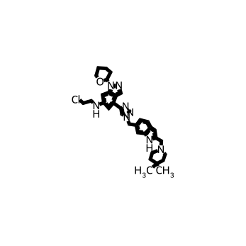 CC1(C)CCN(Cc2cc3ccc(Cn4cc(-c5cc(NCCCl)cc6c5cnn6C5CCCCO5)nn4)cc3[nH]2)CC1